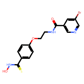 O=C(NCCOc1ccc(C(=S)NO)cc1)c1cncc(Br)c1